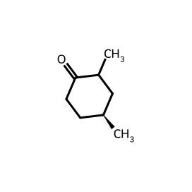 CC1C[C@@H](C)CCC1=O